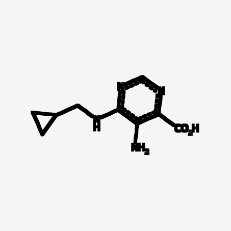 Nc1c(NCC2CC2)ncnc1C(=O)O